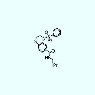 CC(C)CNC(=O)c1ccc2c(c1)N(S(=O)(=O)c1ccccc1)CCS2